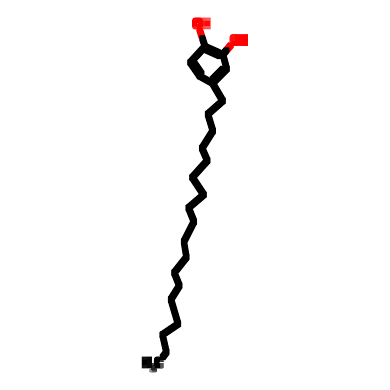 CCCCCCCCCCCCCCCCCCc1ccc(O)c(O)c1